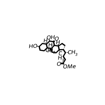 COC(=O)CC[C@@H](C)[C@H]1CC[C@H]2[C@@H]3C(=O)[C@H](O)[C@@H]4C[C@H](O)CC[C@]4(C)[C@H]3CC[C@]12C